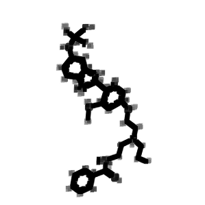 CCCN(CCNC(=O)c1ccccc1)CCOc1cnc(-c2nc3cc(OC(F)(F)F)ccc3[nH]2)c(OC)c1